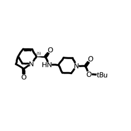 CC(C)(C)OC(=O)N1CCC(NC(=O)[C@@H]2C=CC3CC(=O)N2C3)CC1